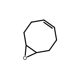 C1=CCCC2OC2CC1